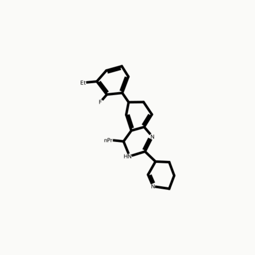 CCCC1NC(C2C=NCCC2)=NC2=CCC(c3cccc(CC)c3F)C=C21